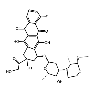 CO[C@H]1OCCN([C@H]2C[C@H](O[C@H]3C[C@](O)(C(=O)CO)Cc4c(O)c5c(c(O)c43)C(=O)c3c(F)cccc3C5=O)O[C@@H](C)[C@H]2O)[C@@H]1C